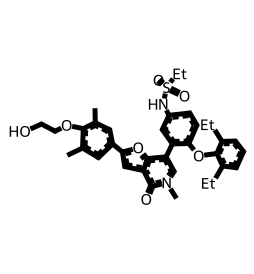 CCc1cccc(CC)c1Oc1ccc(NS(=O)(=O)CC)cc1-c1cn(C)c(=O)c2cc(-c3cc(C)c(OCCO)c(C)c3)oc12